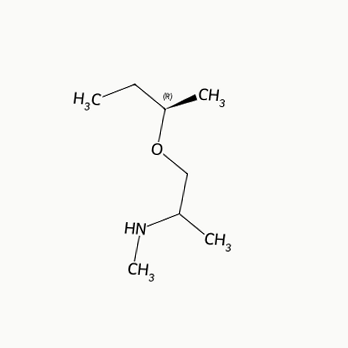 CC[C@@H](C)OCC(C)NC